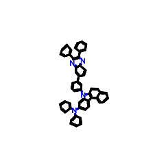 c1ccc(-c2nc3ccc(-c4cccc(-n5c6cc(N(c7ccccc7)c7ccccc7)ccc6c6c7ccccc7ccc65)c4)cc3nc2-c2ccccc2)cc1